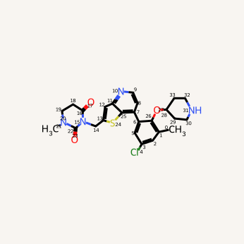 Cc1cc(Cl)cc(-c2ccnc3cc(CN4C(=O)CCN(C)C4=O)sc23)c1OC1CCNCC1